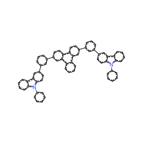 c1ccc(-n2c3ccccc3c3cc(-c4cccc(-c5ccc6c7ccc(-c8cccc(-c9ccc%10c(c9)c9ccccc9n%10-c9ccccc9)c8)cc7c7ccccc7c6c5)c4)ccc32)cc1